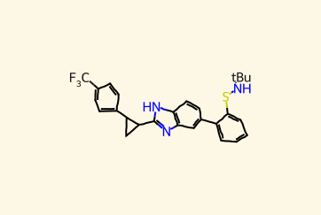 CC(C)(C)NSc1ccccc1-c1ccc2[nH]c(C3CC3c3ccc(C(F)(F)F)cc3)nc2c1